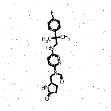 CC(C)(CNc1ccc(N(C=O)CC2CCC(=O)N2)nn1)c1ccc(F)cc1